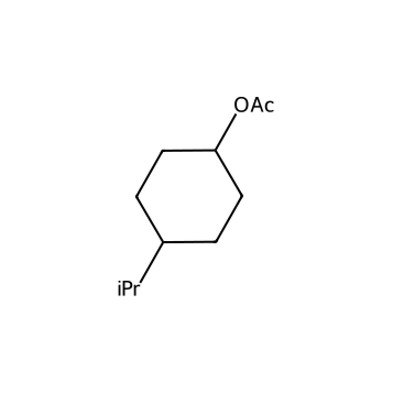 CC(=O)OC1CCC(C(C)C)CC1